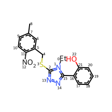 CCn1c(SCc2cc(C)ccc2[N+](=O)[O-])nnc1-c1ccccc1O